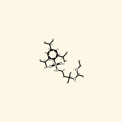 CCOC(C)OC(C)(C)CCOS(=O)(=O)c1c(C(C)C)cc(C(C)C)cc1C(C)C